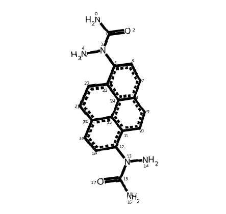 NC(=O)N(N)c1ccc2ccc3c(N(N)C(N)=O)ccc4ccc1c2c43